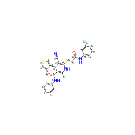 CC1=C(C(=O)Nc2ccccc2)C(c2ccsc2)C(C#N)=C(SCC(=O)Nc2cccc(Cl)c2)N1